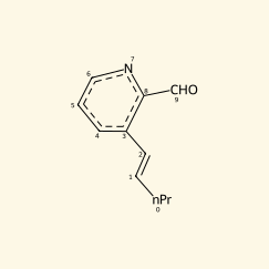 CCC/C=C/c1cccnc1C=O